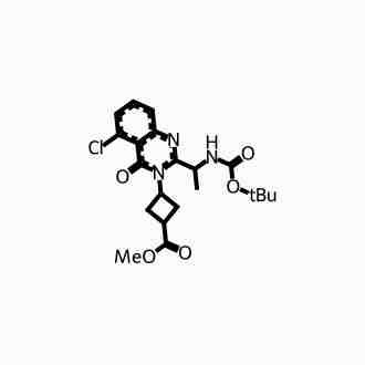 COC(=O)C1CC(n2c(C(C)NC(=O)OC(C)(C)C)nc3cccc(Cl)c3c2=O)C1